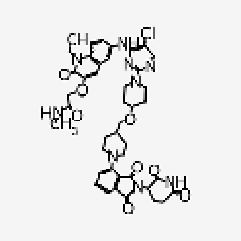 CCn1c(=O)c(OCC(=O)NC)cc2cc(Nc3nc(N4CCC(OCC5CCN(c6cccc7c6C(=O)N(C6CCC(=O)NC6=O)C7=O)CC5)CC4)ncc3Cl)ccc21